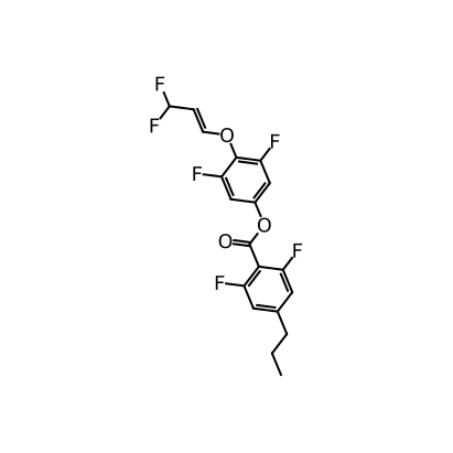 CCCc1cc(F)c(C(=O)Oc2cc(F)c(O/C=C/C(F)F)c(F)c2)c(F)c1